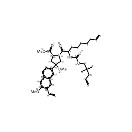 C=CCCCCCC(NC(=O)OCC(C)(C)CC=C)C(=O)N1C[C@](OC)(c2ccc3cc(OC)c(C=C)cc3c2)C[C@H]1C(=O)OC